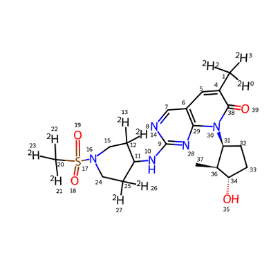 [2H]C([2H])([2H])c1cc2cnc(NC3C([2H])([2H])CN(S(=O)(=O)C([2H])([2H])[2H])CC3([2H])[2H])nc2n([C@H]2CC[C@H](O)[C@H]2C)c1=O